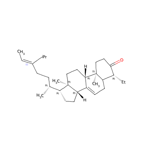 C/C=C(/CC[C@@H](C)[C@H]1CC[C@H]2C3=CCC4[C@@H](CC)C(=O)CC[C@]4(C)[C@H]3CC[C@]12C)C(C)C